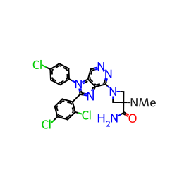 CNC1(C(N)=O)CN(c2nncc3c2nc(-c2ccc(Cl)cc2Cl)n3-c2ccc(Cl)cc2)C1